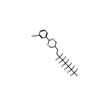 Oc1cccc(C2OCC(CCC(F)(F)C(F)(F)C(F)(F)C(F)(F)C(F)(F)C(F)(F)F)CO2)c1